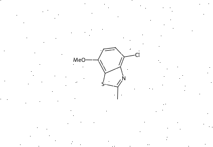 COc1ccc(Cl)c2nc(C)sc12